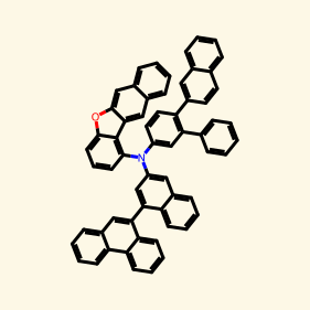 c1ccc(-c2cc(N(c3cc(-c4cc5ccccc5c5ccccc45)c4ccccc4c3)c3cccc4oc5cc6ccccc6cc5c34)ccc2-c2ccc3ccccc3c2)cc1